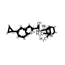 CC1(C)[C@@H](NC(=O)c2cc3cc(C4CC4)ccc3s2)C2CCN1CC2